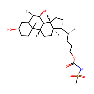 CC[C@@H]1C2C[C@H](O)CCC2(C)[C@H]2CC[C@]3(C)[C@@H]([C@H](C)CCCOC(=O)NS(C)(=O)=O)CC[C@H]3C2[C@@H]1O